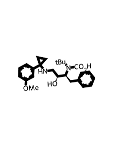 COc1cccc(C2(NC[C@@H](O)[C@H](Cc3ccccc3)N(C(=O)O)C(C)(C)C)CC2)c1